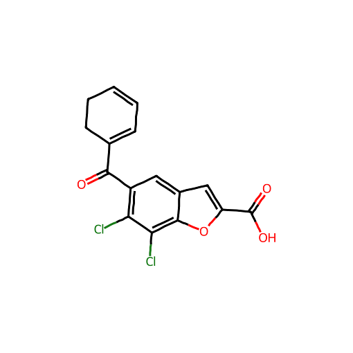 O=C(O)c1cc2cc(C(=O)C3=CC=CCC3)c(Cl)c(Cl)c2o1